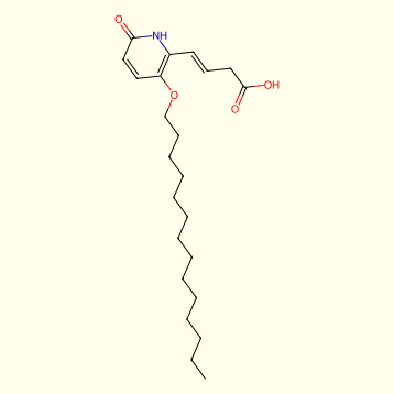 CCCCCCCCCCCCCCOc1ccc(=O)[nH]c1C=CCC(=O)O